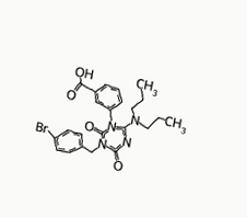 CCCN(CCC)c1nc(=O)n(Cc2ccc(Br)cc2)c(=O)n1-c1cccc(C(=O)O)c1